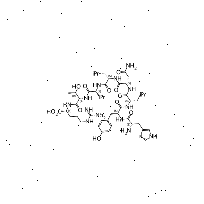 CC(C)C[C@H](NC(=O)[C@H](Cc1ccc(O)cc1)NC(=O)[C@@H](N)Cc1c[nH]cn1)C(=O)N[C@@H](CC(N)=O)C(=O)N[C@@H](CC(C)C)C(=O)N[C@H](C(=O)N[C@H](C(=O)N[C@@H](CCCNC(=N)N)C(=O)O)[C@@H](C)O)C(C)C